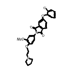 COc1cc(N2C(=O)c3ccc(Oc4ccccc4Cl)cc3C2=O)ccc1OCCN1CCCC1